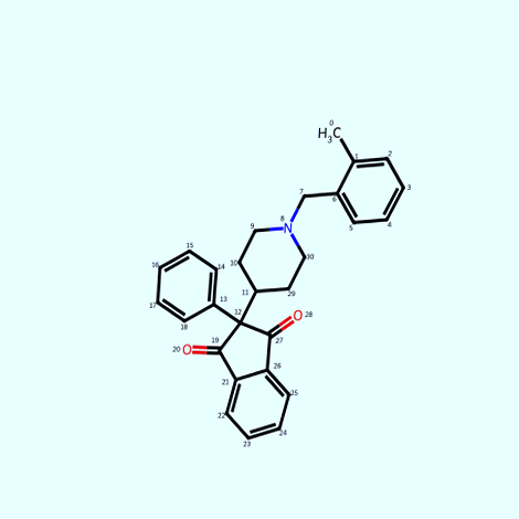 Cc1ccccc1CN1CCC(C2(c3ccccc3)C(=O)c3ccccc3C2=O)CC1